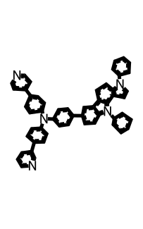 c1ccc(-n2ccc3c2ccc2c4cc(-c5ccc(N(c6ccc(-c7ccncc7)cc6)c6ccc(-c7cccnc7)cc6)cc5)ccc4n(-c4ccccc4)c23)cc1